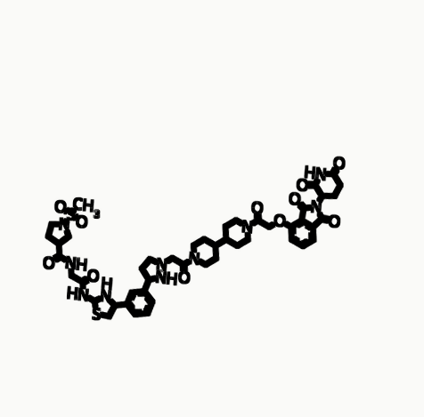 CS(=O)(=O)N1CCC(C(=O)NCC(=O)NC2NC(c3cccc(C4CCN(CC(=O)N5CCC(C6CCN(C(=O)COc7cccc8c7C(=O)N(C7CCC(=O)NC7=O)C8=O)CC6)CC5)N4)c3)CS2)C1